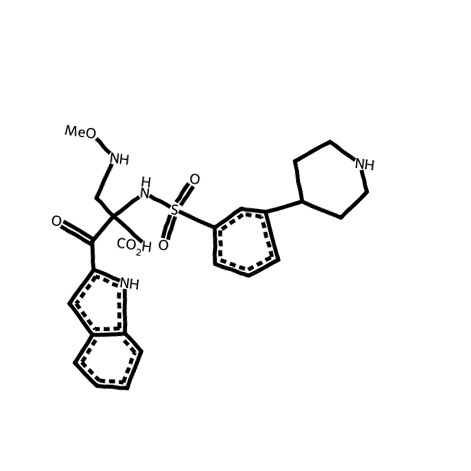 CONCC(NS(=O)(=O)c1cccc(C2CCNCC2)c1)(C(=O)O)C(=O)c1cc2ccccc2[nH]1